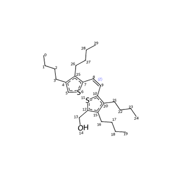 CCCCc1csc(/C=C\c2sc(CO)c(CCCC)c2CCCC)c1CCCC